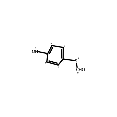 O=CSc1ccc(N=O)cc1